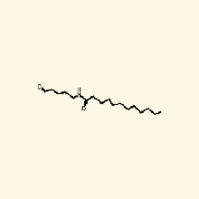 CCCCCCCCCCCC(=O)NCCCCC=O